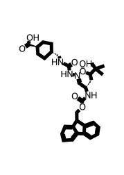 CC(C)(C)C(C[C@@H](/C=N/NC(=O)NC[C@H]1CC[C@H](C(=O)O)CC1)NC(=O)OCC1c2ccccc2-c2ccccc21)OO